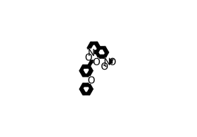 O=C(Oc1c([N+](=O)[O-])ccc2cccnc12)c1cccc(Oc2ccccc2)c1